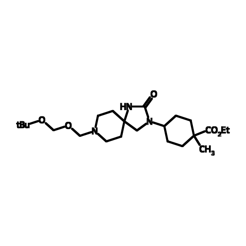 CCOC(=O)C1(C)CCC(N2CC3(CCN(COCOC(C)(C)C)CC3)NC2=O)CC1